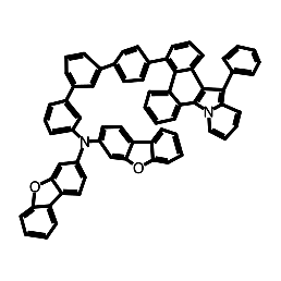 c1ccc(-c2c3c4cccc(-c5ccc(-c6cccc(-c7cccc(N(c8ccc9c(c8)oc8ccccc89)c8ccc9c(c8)oc8ccccc89)c7)c6)cc5)c4c4ccccc4c3n3ccccc23)cc1